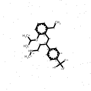 CCc1cccc(OC(C)C)c1CC(CCNC)c1ccc(C(F)(F)F)cc1